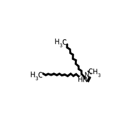 CCCCCCCCCCCCCCC[C@H](CCCCCCCCCCCC)c1[nH]cc[n+]1CC